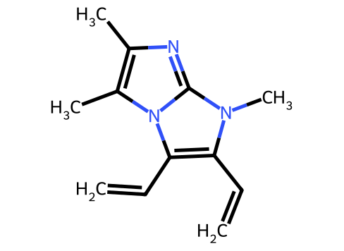 C=Cc1c(C=C)n2c(C)c(C)nc2n1C